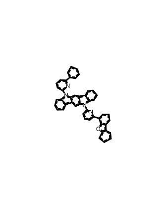 c1ccc(-c2cccc(-n3c4ccccc4c4cc5c(cc43)c3ccccc3n5-c3cccc(-c4cccc5c4oc4ccccc45)n3)n2)cc1